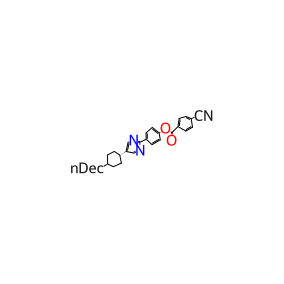 CCCCCCCCCC[C@H]1CC[C@H](c2cnc(-c3ccc(OC(=O)c4ccc(C#N)cc4)cc3)nc2)CC1